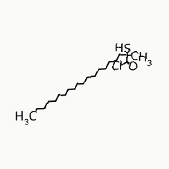 CCCCCCCCCCCCCCCCCCC(C)(S)C(=O)Cl